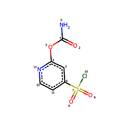 NC(=O)Oc1cc(S(=O)(=O)Cl)ccn1